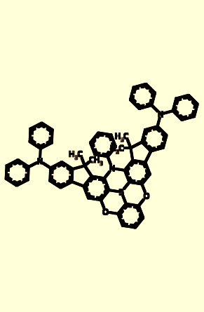 CC1(C)c2cc(N(c3ccccc3)c3ccccc3)ccc2-c2cc3c4c(c21)N(c1ccccc1)c1c2c(cc5c1C(C)(C)c1cc(N(c6ccccc6)c6ccccc6)ccc1-5)Oc1cccc(c1B42)O3